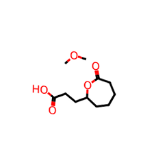 COC.O=C(O)CCC1CCCCC(=O)O1